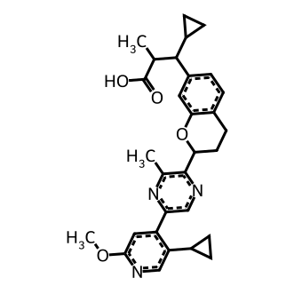 COc1cc(-c2cnc(C3CCc4ccc(C(C5CC5)C(C)C(=O)O)cc4O3)c(C)n2)c(C2CC2)cn1